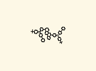 CC(C)(C)c1ccc(N(c2ccc(-c3ccccc3)cc2)c2ccc(-c3cc4c5cccc(-c6cccc(N(c7ccc(-c8ccccc8)cc7)c7ccc(C(C)(C)C)cc7)c6)c5ccc4c4ccccc34)cc2)cc1